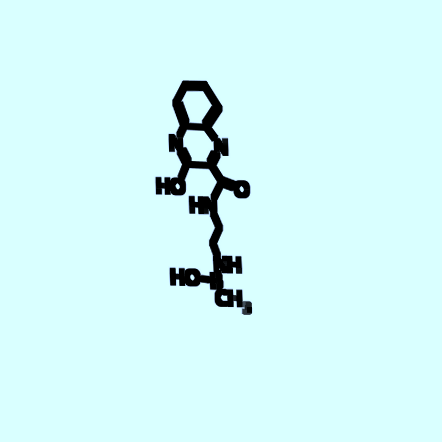 CB(O)NCCNC(=O)c1nc2ccccc2nc1O